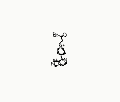 O=C(Br)CC[n+]1ccc(-c2nccn3cnnc23)cc1